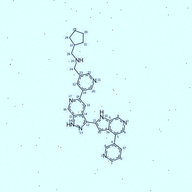 c1cncc(-c2cncc3[nH]c(-c4n[nH]c5cnc(-c6cncc(CNCC7CCCC7)c6)cc45)cc23)c1